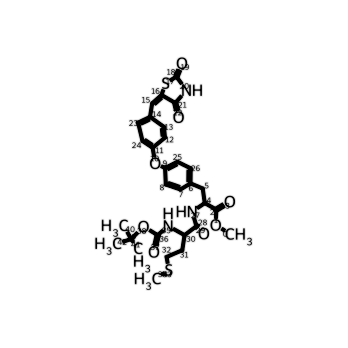 COC(=O)C(Cc1ccc(Oc2ccc(C=C3SC(=O)NC3=O)cc2)cc1)NC(=O)C(CCSC)NC(=O)OC(C)(C)C